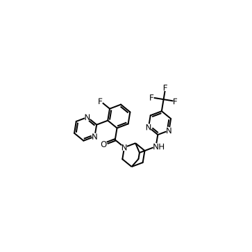 O=C(c1cccc(F)c1-c1ncccn1)N1CC2CCC1C(Nc1ncc(C(F)(F)F)cn1)C2